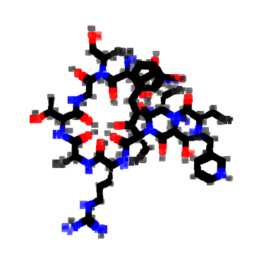 CCC(C)[C@H](NC(=O)[C@@H](CCCNC(=N)N)NC(=O)[C@@](CC(C)C)(C(=O)[C@@H](N)Cc1cccc(O)c1)N(C(=O)[C@H](CC(C)C)NC(=O)[C@@H](CC(C)C)NCc1cccnc1)C(=O)[C@@H](N)[C@H](O)C(C)C)C(=O)N[C@H](C(=O)NCC(=O)N(C(=O)[C@@H](N)[C@H](O)C(N)=O)[C@@H](CO)C(=O)O)[C@H](C)O